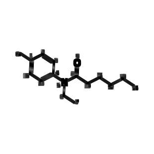 [CH2]c1ccc(N(CC)C(=O)CCCCC)cc1